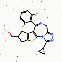 OCC1Cc2sc3c(c2C1)C(c1c(F)cccc1F)=NCc1nnc(C2CC2)n1-3